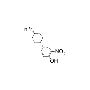 CCC[C@H]1CC[C@H](c2ccc(O)c([N+](=O)[O-])c2)CC1